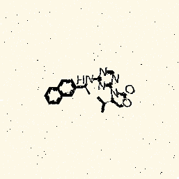 CC(C)[C@H]1COC(=O)N1c1ncnc(N[C@@H](C)c2ccc3ccccc3c2)n1